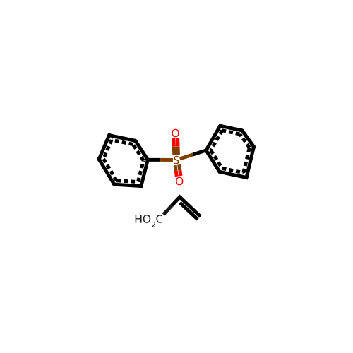 C=CC(=O)O.O=S(=O)(c1ccccc1)c1ccccc1